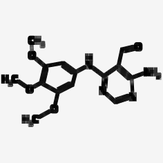 COc1cc(Nc2ncnc(N)c2C=O)cc(OC)c1OC